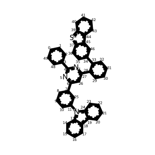 c1ccc(-c2nc(-c3cccc(-n4c5ccccc5c5ccccc54)c3)cc(-c3ccccc3-c3ccc4sc5ccccc5c4c3)n2)cc1